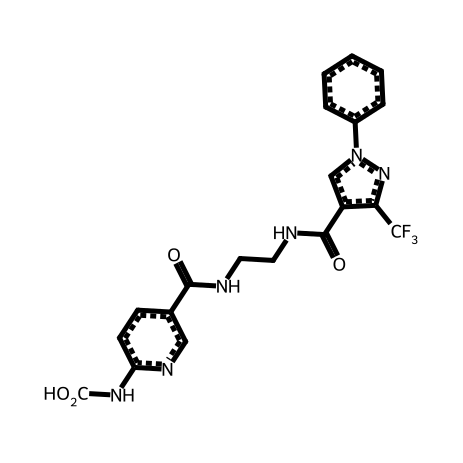 O=C(O)Nc1ccc(C(=O)NCCNC(=O)c2cn(-c3ccccc3)nc2C(F)(F)F)cn1